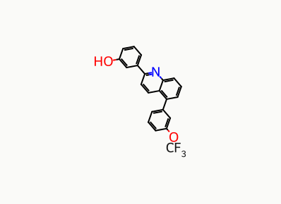 Oc1cccc(-c2ccc3c(-c4cccc(OC(F)(F)F)c4)cccc3n2)c1